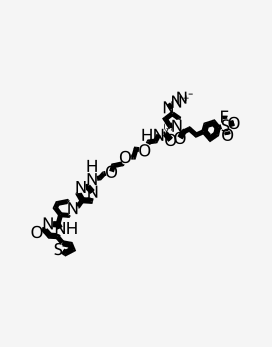 [N-]=[N+]=NC1C[C@@H](C(=O)NCCOCCOCCOCCNc2ncc(CN3CCCC(c4nc(=O)cc(-c5cccs5)[nH]4)C3)cn2)N(C(=O)CCc2ccc(S(=O)(=O)F)cc2)C1